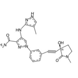 Cc1c[nH]nc1Nc1cn(-c2cccc(C#C[C@]3(O)CCN(C)C3=O)c2)nc1C(N)=O